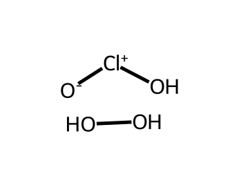 OO.[O-][Cl+]O